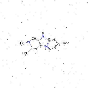 COc1ccn2c(CC(C)N(C)C)cnc2c1